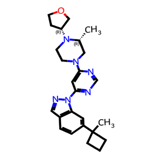 C[C@@H]1CN(c2cc(-n3ncc4ccc(C5(C)CCC5)cc43)ncn2)CCN1[C@@H]1CCOC1